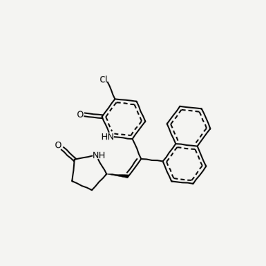 O=C1CC[C@H](/C=C(\c2ccc(Cl)c(=O)[nH]2)c2cccc3ccccc23)N1